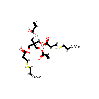 C=CC(=O)OCC(COC(=O)C=C)(COC(=O)CCSCCOC)COC(=O)CCSCCOC